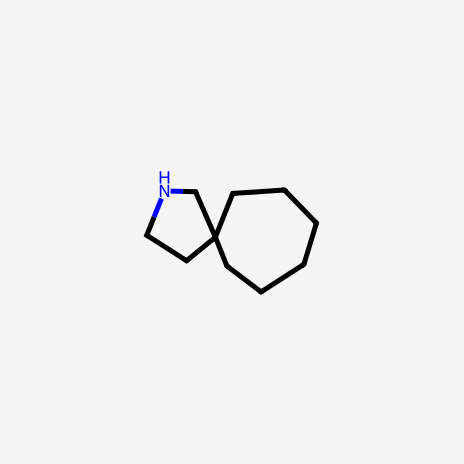 C1CCCC2(CC1)CCNC2